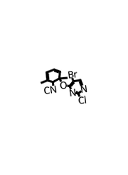 CC1=CC=CC(C)(Oc2nc(Cl)ncc2Br)C1C#N